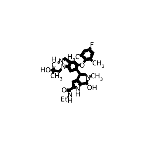 CCNC(=O)c1cc2c([nH]1)C(O)N(C)C=C2c1cc2c(cnn2CC(C)(C)O)cc1Oc1c(C)cc(F)cc1C